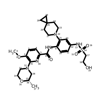 COc1ccc(C(=O)Nc2ccc(NS(=O)(=O)CCO)cc2N2CCC3(CC2)CC3)nc1N1CCO[C@@H](C)C1